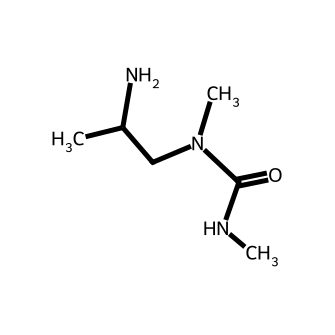 CNC(=O)N(C)CC(C)N